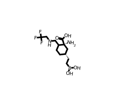 N[C@]1(C(=O)O)C[C@H](CCB(O)O)CCC1CNCC(F)(F)F